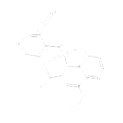 COC(=O)c1nccnc1N(CC(F)F)S(=O)(=O)Cc1ccccc1C#N